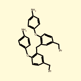 CC(C)Cc1ccc(Oc2ccc(N)cc2)c(Cc2cc(CC(C)C)ccc2Oc2ccc(N)cc2)c1